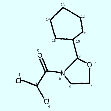 O=C(C(Cl)Cl)N1CCOC1C1CCCCC1